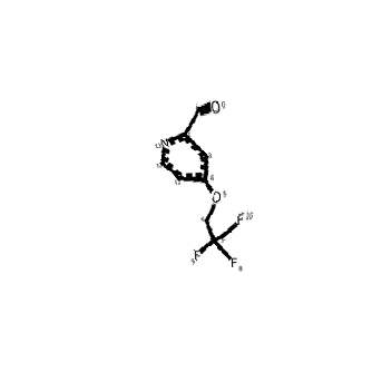 O=Cc1cc(OCC(F)(F)F)ccn1